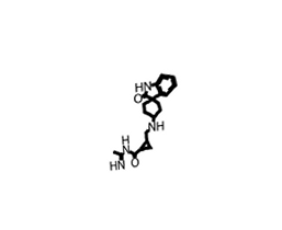 CC(=N)NC(=O)C1CC1CNC1CCC2(CC1)C(=O)Nc1ccccc12